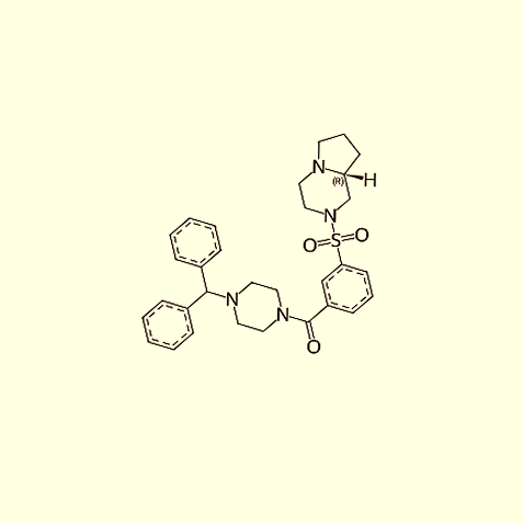 O=C(c1cccc(S(=O)(=O)N2CCN3CCC[C@@H]3C2)c1)N1CCN(C(c2ccccc2)c2ccccc2)CC1